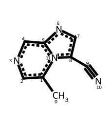 Cc1cncc2n[c]c(C#N)n12